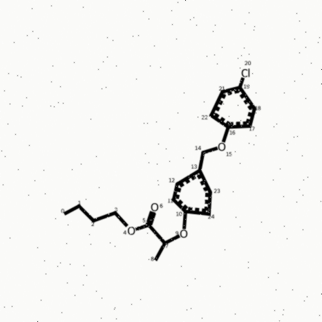 CCCCOC(=O)C(C)Oc1ccc(COc2ccc(Cl)cc2)cc1